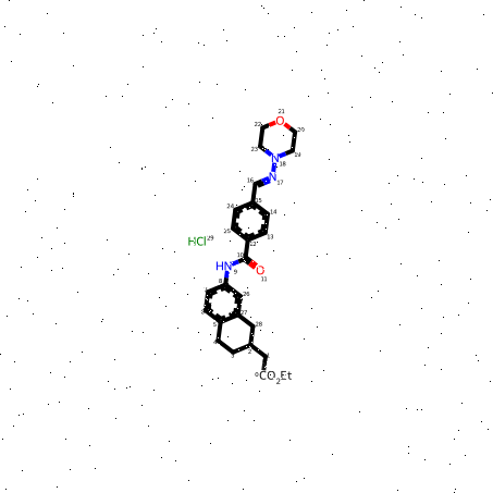 CCOC(=O)CC1CCc2ccc(NC(=O)c3ccc(C=NN4CCOCC4)cc3)cc2C1.Cl